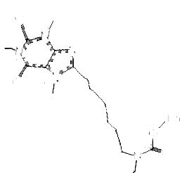 CN(CCCCCCc1nc2c(c(=O)n(C)c(=O)n2C)n1C)C(=O)OC(C)(C)C